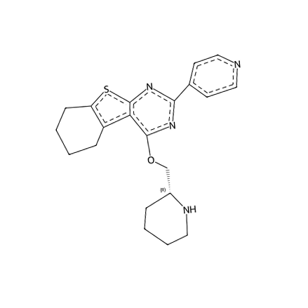 c1cc(-c2nc(OC[C@H]3CCCCN3)c3c4c(sc3n2)CCCC4)ccn1